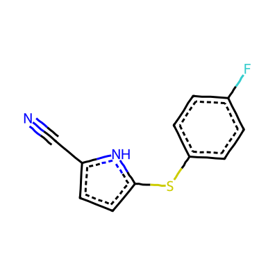 N#Cc1ccc(Sc2ccc(F)cc2)[nH]1